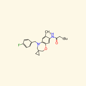 Cc1cc2c(cc1NC(=O)CC(C)(C)C)OCC1(CC1)CN2Cc1ccc(F)cc1